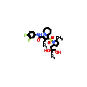 Cc1c(S(=O)(=O)N2C(C)CCC2CC(C)(O)CO)c2n(c1C(=O)Nc1ccc(F)c(F)c1)CCCCC2